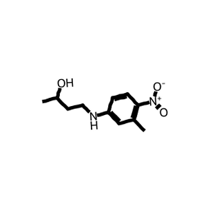 Cc1cc(NCCC(C)O)ccc1[N+](=O)[O-]